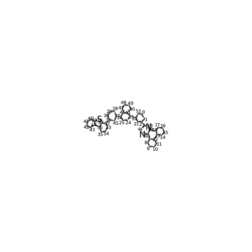 c1cc(-c2cnc3c4ccccc4c4ccccc4c3n2)cc(-c2ccc(-c3cccc(-c4cccc5c4sc4ccccc45)c3)c3ccccc23)c1